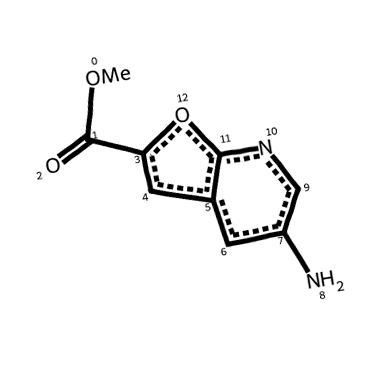 COC(=O)c1cc2cc(N)cnc2o1